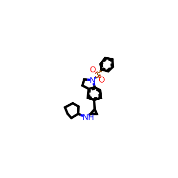 O=S(=O)(c1ccccc1)N1CCc2cc(C3CC3NC3CCCCC3)ccc21